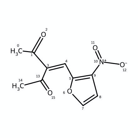 CC(=O)C(=Cc1occc1[N+](=O)[O-])C(C)=O